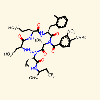 CC(=O)Nc1ccc(C(=O)N(C(=O)[C@H](Cc2ccccc2C)NC(=O)[C@H](CCC(=O)O)NC(=O)[C@@H](N)CC(=O)O)[C@H](C(=O)N[C@@H](CC(C)C)C(=O)NC(C=O)CC(F)(F)F)C(C)(C)C)cc1[N+](=O)[O-]